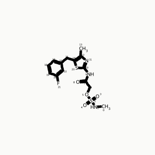 CNS(=O)(=O)OCC(=O)Nc1nc(C)c(Cc2cccc(F)c2)s1